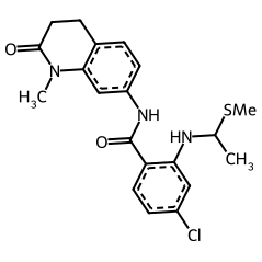 CSC(C)Nc1cc(Cl)ccc1C(=O)Nc1ccc2c(c1)N(C)C(=O)CC2